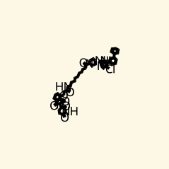 O=C(COc1cccc2c1C(=O)N(C1CCC(=O)NC1=O)C2=O)NCCCCCCCCCC(=O)N1CCC(Nc2ncc(Cl)c(-c3cccc(-c4ccccc4)c3)n2)CC1